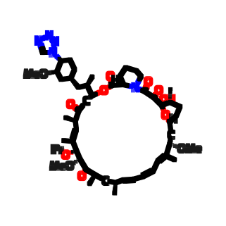 CO[C@H]1C[C@@H]2CC[C@@H](C)[C@@](O)(O2)C(=O)C(=O)N2CCCC[C@H]2C(=O)O[C@H]([C@H](C)C[C@@H]2CC[C@H](n3cnnn3)[C@H](OC)C2)CC(=O)[C@H](C)/C=C(\C)[C@@H](OC(C)C)[C@@H](OC)C(=O)[C@H](C)C[C@H](C)/C=C/C=C/C=C/1C